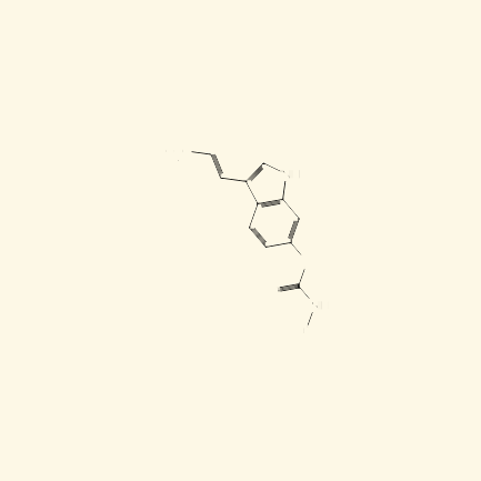 CCCNC(=O)Oc1ccc2c(C=CC(=O)OCC)c[nH]c2c1